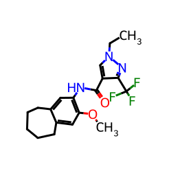 CCn1cc(C(=O)Nc2cc3c(cc2OC)CCCCC3)c(C(F)(F)F)n1